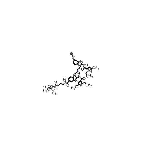 CCn1nc(C)cc1C(=O)Nc1nc2cc(CN=O)ccc2n1C/C=C/Cn1c(NC(=O)c2cc(C)nn2CC)nc2cc(C(=O)NCCCNC(=O)OC(C)(C)C)ccc21